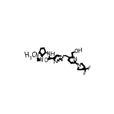 Cn1cnc2c1CC[C@H]2NC(=O)c1cn(Cc2ccc(N3CC4C(C3)C4(F)F)nc2CO)nn1